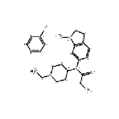 CCC(=O)N(c1ccc2c(c1)N(C)CC2)C1CCN(CC)CC1.Fc1ccccc1